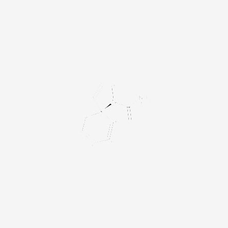 C=C[C@]1(N(C)C(N)=O)C=CC=CC1.Cl